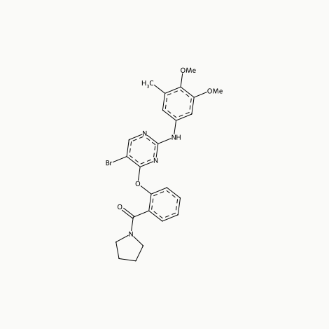 COc1cc(Nc2ncc(Br)c(Oc3ccccc3C(=O)N3CCCC3)n2)cc(C)c1OC